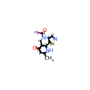 Cc1cc(=O)c(CNC(=O)I)c(-c2ccns2)[nH]1